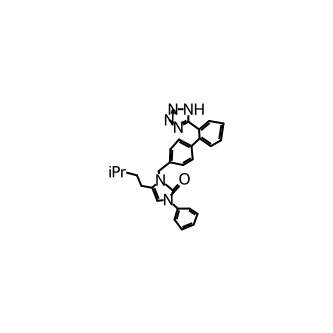 CC(C)CCc1cn(-c2ccccc2)c(=O)n1Cc1ccc(-c2ccccc2-c2nnn[nH]2)cc1